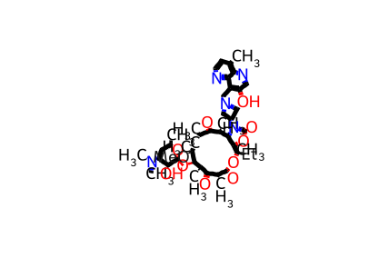 CC[C@H]1OC(=O)[C@H](C)C(=O)[C@H](C)[C@@H](O[C@@H]2O[C@H](C)C[C@H](N(C)C)[C@H]2O)[C@](C)(OC)C[C@@H](C)C(=O)[C@H](C)[C@H]2N(C3CN(Cc4c(O)cnc5c(C)ccnc45)C3)C(=O)O[C@]12C